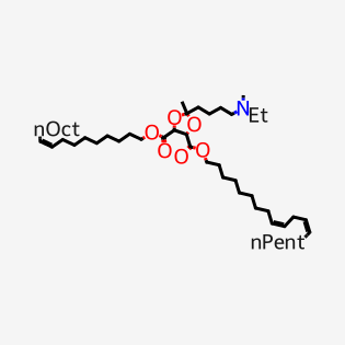 CCCCC/C=C\C/C=C\CCCCCCCCOC(=O)C1OC(C)(CCCCN(C)CC)OC1C(=O)OCCCCCCCC/C=C\CCCCCCCC